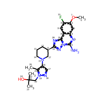 COc1cc2nc(N)n3nc([C@@H]4CCCN(c5cnn(CC(C)(C)O)c5C)C4)nc3c2cc1F